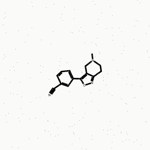 CN1CCc2noc(-c3cccc(C#N)c3)c2C1